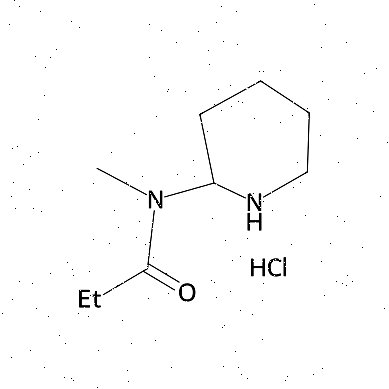 CCC(=O)N(C)C1CCCCN1.Cl